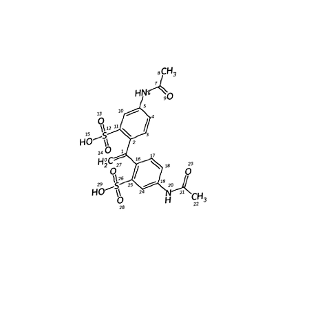 C=C(c1ccc(NC(C)=O)cc1S(=O)(=O)O)c1ccc(NC(C)=O)cc1S(=O)(=O)O